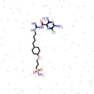 N=C(NCCCCC1CCC(OCCCS(N)(=O)=O)CC1)NC(=O)c1nc(Cl)c(N)nc1N